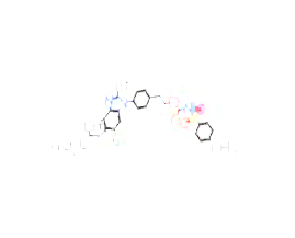 CCc1nc2cc(CC(C)C(=O)O)c(Cl)cc2n1-c1ccc(CCOC(=O)NS(=O)(=O)c2ccc(C)cc2)cc1